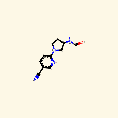 N#Cc1ccc(N2CCC(NC=O)C2)nc1